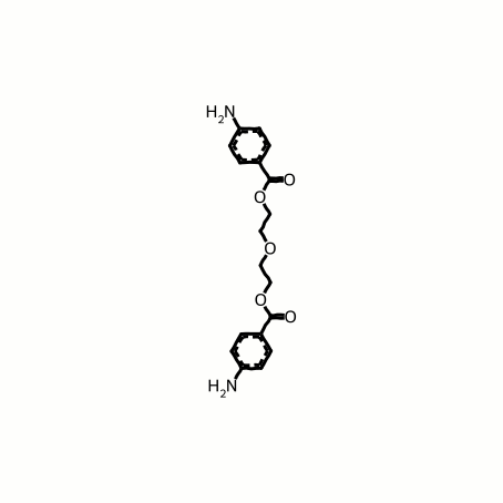 Nc1ccc(C(=O)OCCOCCOC(=O)c2ccc(N)cc2)cc1